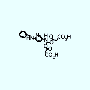 O=C(O)CC(=O)OC(Nc1ccc(NCc2ccccc2)nc1)OC(=O)CC(=O)O